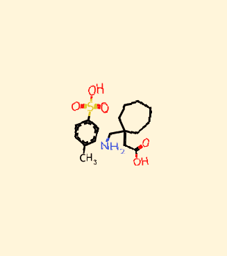 Cc1ccc(S(=O)(=O)O)cc1.NCC1(CC(=O)O)CCCCCC1